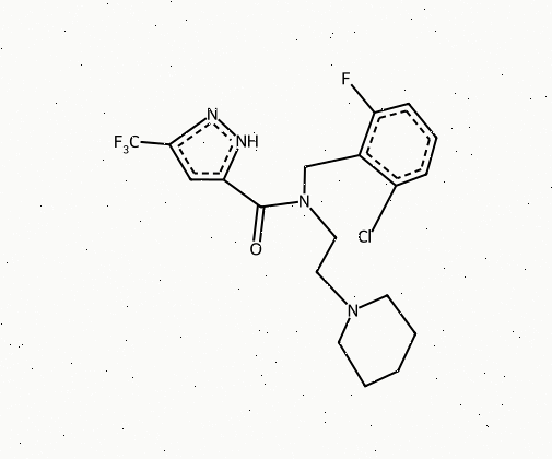 O=C(c1cc(C(F)(F)F)n[nH]1)N(CCN1CCCCC1)Cc1c(F)cccc1Cl